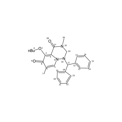 CCCCOc1c2n(cc(C)c1=O)N(C(c1ccccc1)c1ccccc1)CN(C)C2=O